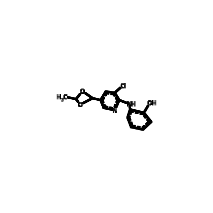 CC1OC(c2cnc(Nc3ccccc3O)c(Cl)c2)O1